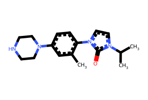 Cc1cc(N2CCNCC2)ccc1-n1ccn(C(C)C)c1=O